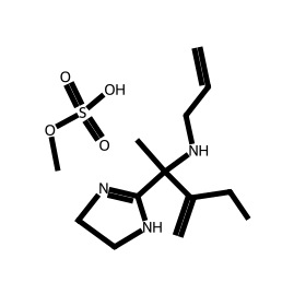 C=CCNC(C)(C(=C)CC)C1=NCCN1.COS(=O)(=O)O